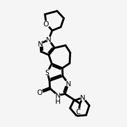 O=c1[nH]c(C2CC3CCN2CC3)nc2c3c(sc12)-c1cnn(C2CCCCO2)c1CCC3